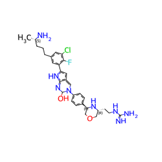 C[C@H](N)CCCc1cc(Cl)c(F)c(-c2cc3c([nH]2)=NC(O)N(c2ccc([C@@H]4COC[C@@H](CCNC(=N)N)N4)cc2)C=3)c1